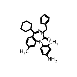 Cc1ccc2c(c1)N(c1ccc(N)cc1C)C(=O)N(Cc1ccccc1)N=C2C1CCCCC1